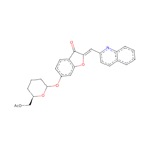 CC(=O)OC[C@H]1CCCC(Oc2ccc3c(c2)O/C(=C\c2ccc4ccccc4n2)C3=O)O1